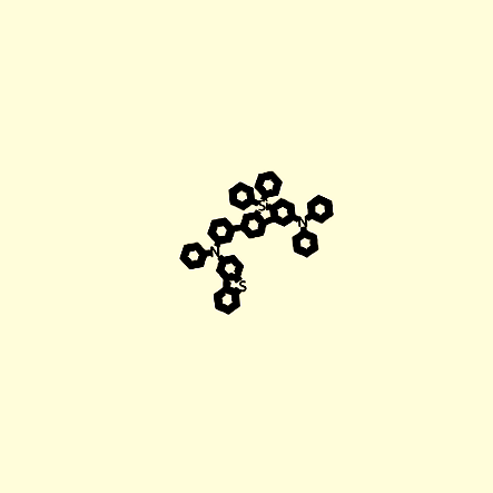 c1ccc(N(c2ccccc2)c2ccc3c(c2)-c2ccc(-c4cccc(N(c5ccccc5)c5ccc6sc7ccccc7c6c5)c4)cc2[Si]3(c2ccccc2)c2ccccc2)cc1